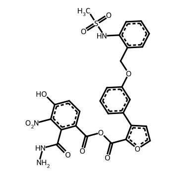 CS(=O)(=O)Nc1ccccc1COc1cccc(-c2ccoc2C(=O)OC(=O)c2ccc(O)c([N+](=O)[O-])c2C(=O)NN)c1